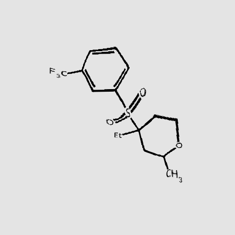 CCC1(S(=O)(=O)c2cccc(C(F)(F)F)c2)CCOC(C)C1